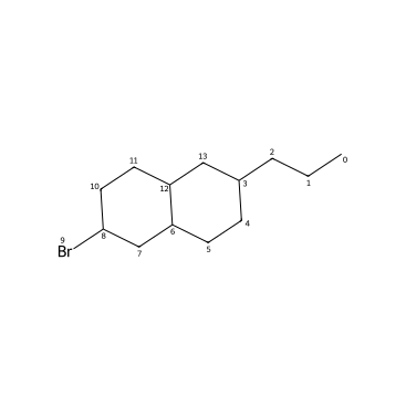 CCCC1CCC2CC(Br)CCC2C1